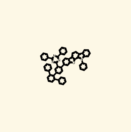 c1ccc(-c2nc(-c3ccccc3)nc(-c3cc(-c4c(-c5ccccc5)cccc4-c4ccccc4)ccc3-c3ccc4c(c3)oc3c4ccc4c5ccccc5n(-c5ccccc5)c43)n2)cc1